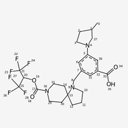 CC1CCN(c2cc(CN3CCCC34CCN(C(=O)OC(C(F)(F)F)C(F)(F)F)CC4)cc(C(=O)O)c2)C1